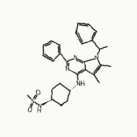 Cc1c(C)n(C(C)c2ccccc2)c2nc(-c3ccccc3)nc(N[C@H]3CC[C@H](NS(C)(=O)=O)CC3)c12